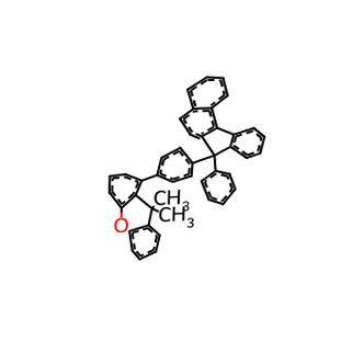 CC1(C)c2ccccc2Oc2cccc(-c3ccc(C4(c5ccccc5)c5ccccc5-c5c4ccc4ccccc54)cc3)c21